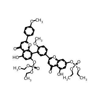 CCOP(=O)(OCC)Oc1cc(O)c2c(=O)cc(-c3ccc(OC)c(-c4c(OP(=O)(OCC)OCC)cc(O)c5c(=O)cc(-c6ccc(OC)cc6)oc45)c3)oc2c1